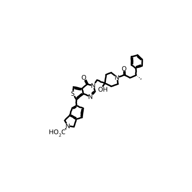 C[C@H](CC(=O)N1CCC(O)(Cn2cnc3c(-c4ccc5c(c4)CN(C(=O)O)C5)scc3c2=O)CC1)c1ccccc1